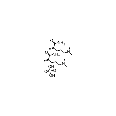 C=C(CCCN(C)C)C(N)=O.C=C(CCCN(C)C)C(N)=O.[O]=[Cr](=[O])([OH])[OH]